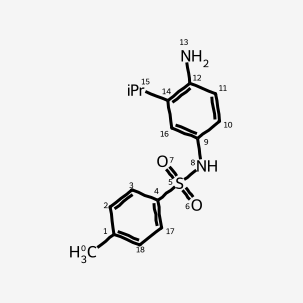 Cc1ccc(S(=O)(=O)Nc2ccc(N)c(C(C)C)c2)cc1